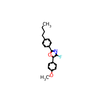 CCCCc1ccc(-c2nc(F)c(-c3ccc(OC)cc3)o2)cc1